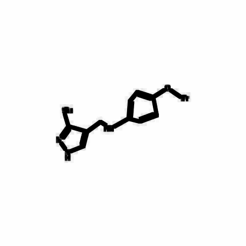 CC(C)Oc1ccc(NCc2c[nH]nc2C(C)(C)C)cc1